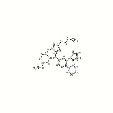 CCCCc1nc(CC2CCC(CN)CC2)n(Cc2ccc(-c3ccccc3-c3nnn[nH]3)cc2)n1